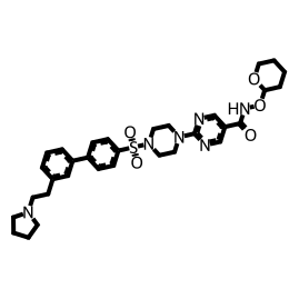 O=C(NOC1CCCCO1)c1cnc(N2CCN(S(=O)(=O)c3ccc(-c4cccc(CCN5CCCC5)c4)cc3)CC2)nc1